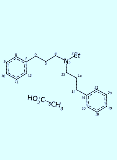 CC(=O)O.CCN(CCCc1ccccc1)CCCc1ccccc1